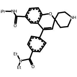 CCN(CC)C(=O)c1ccc(C2=CC3(CCNCC3)Oc3ccc(C(=O)NC(C)C)cc32)cc1